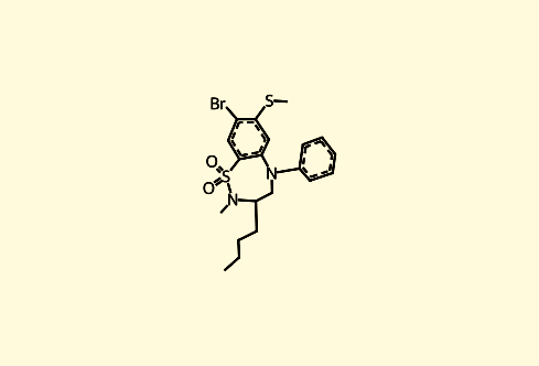 CCCCC1CN(c2ccccc2)c2cc(SC)c(Br)cc2S(=O)(=O)N1C